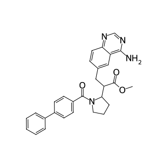 COC(=O)C(Cc1ccc2ncnc(N)c2c1)C1CCCN1C(=O)c1ccc(-c2ccccc2)cc1